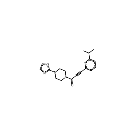 CC(C)c1cccc(C#CC(=O)N2CCN(c3nccs3)CC2)c1